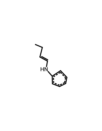 CCC=CNc1ccccc1